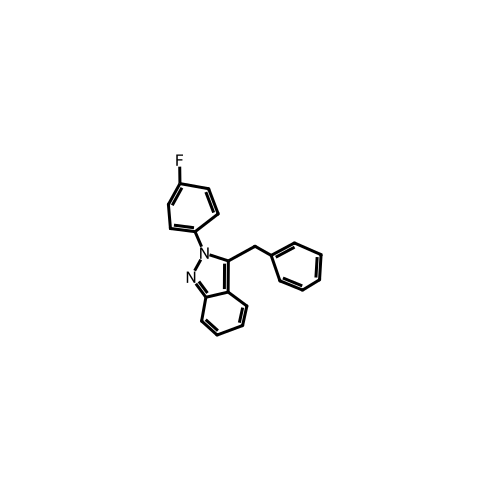 Fc1ccc(-n2nc3ccccc3c2Cc2ccccc2)cc1